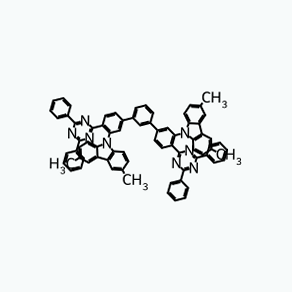 Cc1ccc2c(c1)c1cc(C)ccc1n2-c1cc(-c2cccc(-c3ccc(-c4nc(-c5ccccc5)nc(-c5ccccc5)n4)c(-n4c5ccc(C)cc5c5cc(C)ccc54)c3)c2)ccc1-c1nc(-c2ccccc2)nc(-c2ccccc2)n1